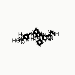 CCC(Nc1ncnc2[nH]cnc12)c1nc2cccc(NCc3ccc(C(=O)NO)cc3)c2c(=O)n1-c1ccccc1